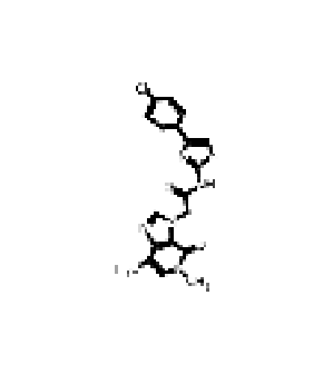 Cc1cn(C)c(=O)c2c1ncn2CC(=O)Nc1nc(-c2ccc(Cl)cc2)cs1